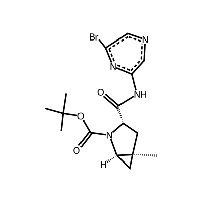 CC(C)(C)OC(=O)N1[C@H](C(=O)Nc2cncc(Br)n2)C[C@@]2(C)C[C@@H]12